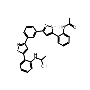 CC(=O)Nc1ccccc1-c1cc(-c2cccc(-c3cc(-c4ccccc4NC(C)O)[nH]n3)c2)n[nH]1